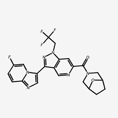 O=C(c1cc2c(cn1)c(-c1cnc3ccc(F)cn13)nn2CC(F)(F)F)N1CC2CCC(C1)O2